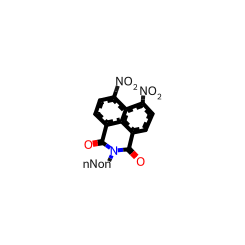 CCCCCCCCCN1C(=O)c2ccc([N+](=O)[O-])c3c([N+](=O)[O-])ccc(c23)C1=O